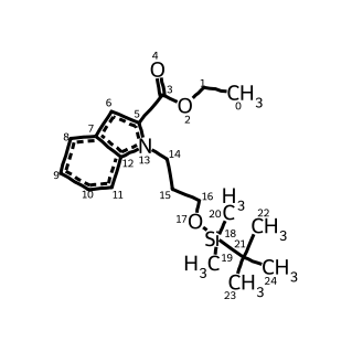 CCOC(=O)c1cc2ccccc2n1CCCO[Si](C)(C)C(C)(C)C